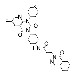 O=C(CCn1ncc2ccccc2c1=O)N[C@H]1CC[C@@H](n2c(=O)c3cc(F)cnc3n(C3CCSCC3)c2=O)CC1